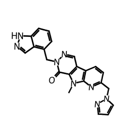 Cn1c2nc(Cn3cccn3)ccc2c2cnn(Cc3cccc4[nH]ncc34)c(=O)c21